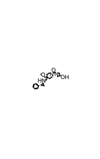 COCC1(CN[C@@H]2C[C@@H]2c2ccccc2)CCN(C(=O)N2CC(O)C2)CC1